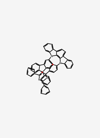 c1ccc(-c2nc(-c3ccccc3)nc(-c3ccc(-n4c5ccccc5c5ccc6c7ccccc7n(-c7ccc8c(c7)c7ccccc7n8-c7ccccc7)c6c54)cc3)n2)cc1